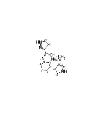 CC(=NC1CCCCC1N=C(C)C1=NNCC1)C1=NNCC1